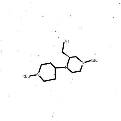 CC(C)(C)N1CCC(N2CCN(C(C)(C)C)C[C@@H]2CO)CC1